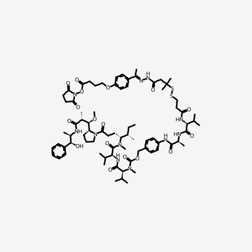 CC[C@H](C)[C@@H](CCC(=O)N1CCC[C@H]1[C@H](OC)[C@@H](C)C(=O)N[C@H](C)[C@@H](O)c1ccccc1)N(C)C(=O)[C@@H](NC(=O)[C@H](C(C)C)N(C)C(=O)OCc1ccc(NC(=O)[C@H](C)NC(=O)[C@@H](NC(=O)CCSSC(C)(C)CC(=O)N/N=C(\C)c2ccc(OCCCC(=O)ON3C(=O)CCC3=O)cc2)C(C)C)cc1)C(C)C